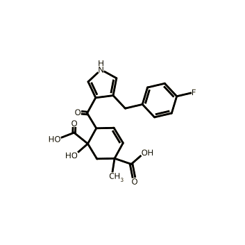 CC1(C(=O)O)C=CC(C(=O)c2c[nH]cc2Cc2ccc(F)cc2)C(O)(C(=O)O)C1